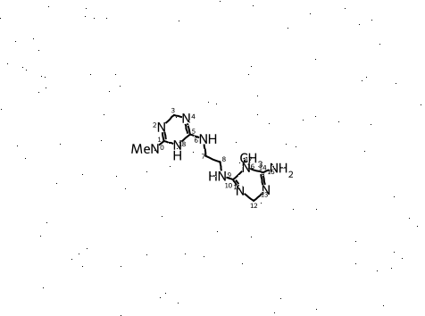 CNC1=NCN=C(NCCNC2=NCN=C(N)N2C)N1